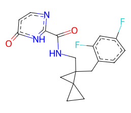 O=C(NCC1(Cc2ccc(F)cc2F)CC12CC2)c1nccc(=O)[nH]1